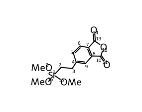 CO[Si](CCc1ccc2c(c1)C(=O)OC2=O)(OC)OC